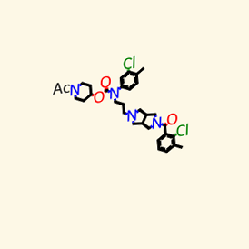 CC(=O)N1CCC(OC(=O)N(CCCN2CC3CN(C(=O)c4cccc(C)c4Cl)CC3C2)c2ccc(C)c(Cl)c2)CC1